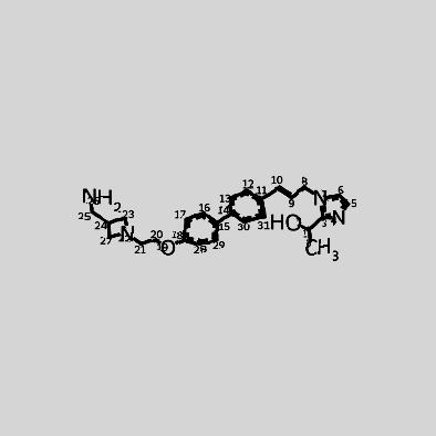 CC(O)c1nccn1CC=Cc1ccc(-c2ccc(OCCN3CC(CN)C3)cc2)cc1